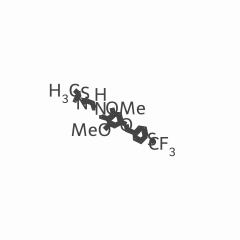 COc1cc(OCc2ccc(SC(F)(F)F)cc2)cc(OC)c1CNCCc1ncc(C)s1